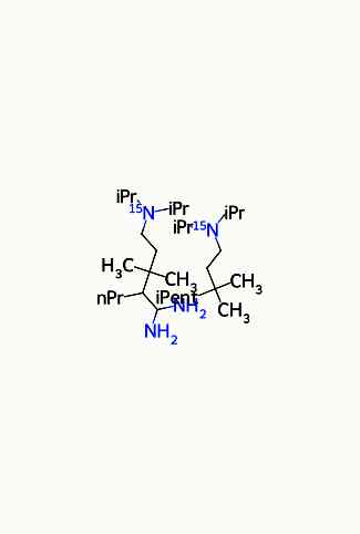 CCCC(C(N)N)C(C)(C)CC[15N](C(C)C)C(C)C.CCCC(C)C(C)(C)CC[15N](C(C)C)C(C)C